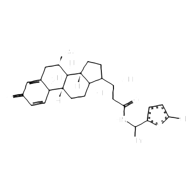 CC(=O)O[C@@H]1CC2=CC(=O)C=C[C@]2(C)[C@H]2CC[C@]3(C)C([C@H](C)CC(=O)NC(c4ccc(Cl)s4)C(C)C)CC[C@H]3[C@H]12